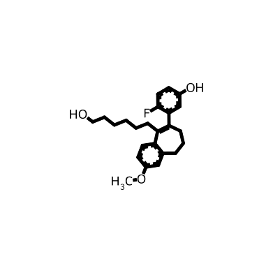 COc1ccc2c(c1)CCCC(c1cc(O)ccc1F)=C2CCCCCCO